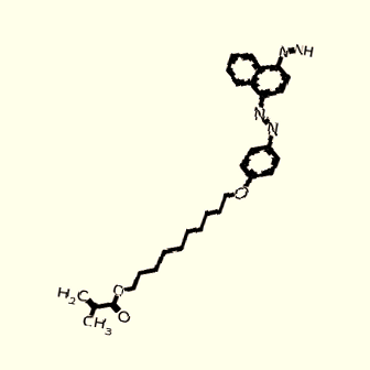 C=C(C)C(=O)OCCCCCCCCCCOc1ccc(/N=N/c2ccc(N=N)c3ccccc23)cc1